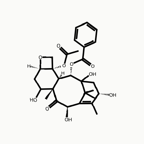 CC(=O)O[C@@]12CO[C@@H]1CC(O)[C@@]1(C)C(=O)[C@H](O)C3=C(C)[C@@H](O)CC(O)([C@@H](OC(=O)c4ccccc4)[C@H]21)C3(C)C